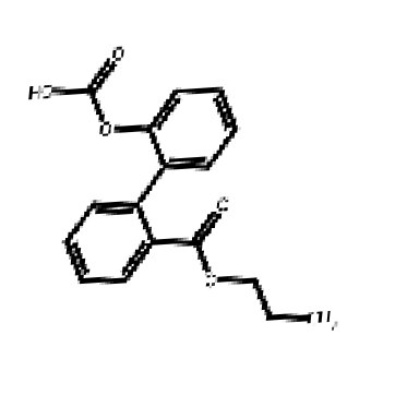 CCCOC(=O)c1ccccc1-c1ccccc1OC(=O)O